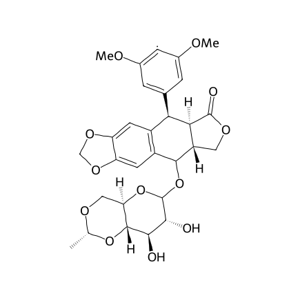 COc1[c]c(OC)cc([C@@H]2c3cc4c(cc3C(OC3O[C@@H]5CO[C@@H](C)O[C@H]5[C@H](O)[C@H]3O)[C@H]3COC(=O)[C@H]23)OCO4)c1